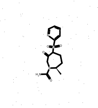 C[C@@H]1CC[C](S(=O)(=O)c2ccccn2)C(=O)CN1C(N)=O